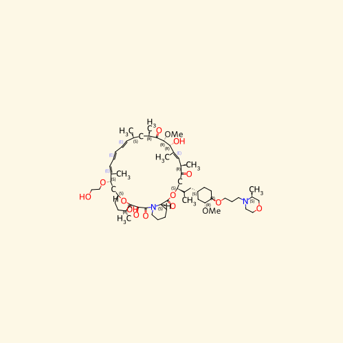 CO[C@@H]1C[C@H](CC(C)[C@@H]2CC(=O)[C@H](C)/C=C(\C)[C@@H](O)[C@@H](OC)C(=O)[C@H](C)C[C@H](C)/C=C/C=C/C=C(\C)[C@@H](OCCO)C[C@@H]3CC[C@@H](C)[C@@](O)(O3)C(=O)C(=O)N3CCCC[C@H]3C(=O)O2)CC[C@H]1OCCCN1CCOC[C@@H]1C